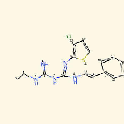 CCNC(=N)NC(=Nc1cccs1)NC=Cc1ccccc1.Cl